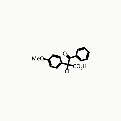 COc1ccc(C(Cl)(C(=O)O)C(=O)c2ccccc2)cc1